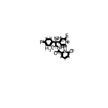 C[C@H](NC(=O)c1cccc(=O)[nH]1)[C@@](N)(c1ccc(F)cc1)c1ccnc(F)c1